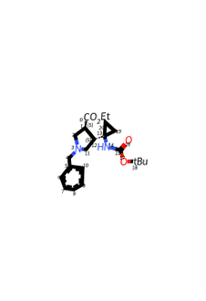 CCOC(=O)[C@@H]1CN(Cc2ccccc2)C[C@H]1C1(NC(=O)OC(C)(C)C)CC1